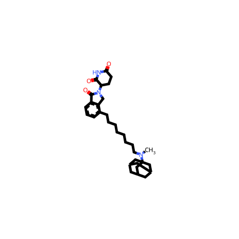 CN(CCCCCCCCc1cccc2c1CN(C1CCC(=O)NC1=O)C2=O)C12CC3CC(CC(C3)C1)C2